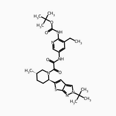 CCc1cc(NC(=O)C(=O)N2C[C@@H](C)CC[C@@H]2c2cc3cn(C(C)(C)C)nc3s2)cnc1NC(=O)OC(C)(C)C